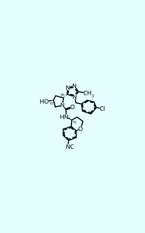 [C-]#[N+]c1ccc2c(c1)OCC[C@@H]2NC(=O)N1C[C@@H](O)C[C@@H]1c1nnc(C)n1Cc1ccc(Cl)cc1